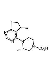 C[C@@H]1CCc2ncnc(N3CCN(C(=O)O)C[C@@H]3C)c21